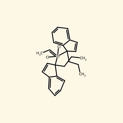 C[CH]=[Zr]([Cl])([Cl])([C]1(CCC)C=Cc2ccccc21)[C]1(CCC)C=Cc2ccccc21